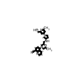 Cc1cc(N2CC[C@H](NCC3CN(c4ccc(C#N)c5ncccc45)CC(C)O3)C2)cc(CO)n1